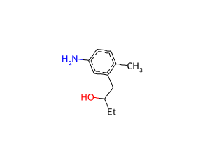 CCC(O)Cc1cc(N)ccc1C